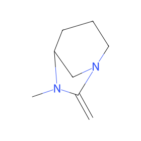 C=C1N2CCCC(C2)N1C